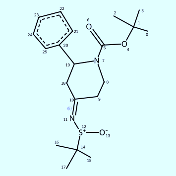 CC(C)(C)OC(=O)N1CC/C(=N\[S+]([O-])C(C)(C)C)CC1c1ccccc1